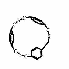 c1cc2ccc1CSCc1ccc(cc1)CSCc1ccc(cc1)CSC2